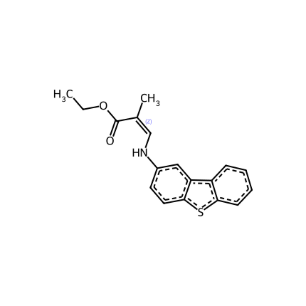 CCOC(=O)/C(C)=C\Nc1ccc2sc3ccccc3c2c1